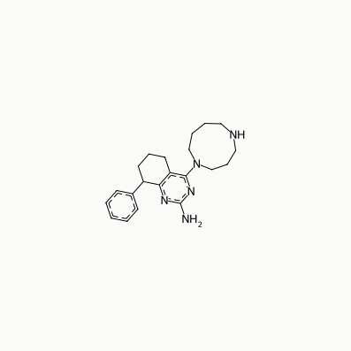 Nc1nc2c(c(N3CCCCNCCC3)n1)CCCC2c1ccccc1